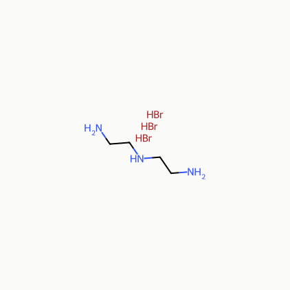 Br.Br.Br.NCCNCCN